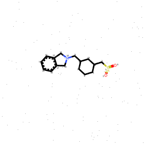 O=[SH](=O)CC1[CH]CCC(CN2Cc3ccccc3C2)C1